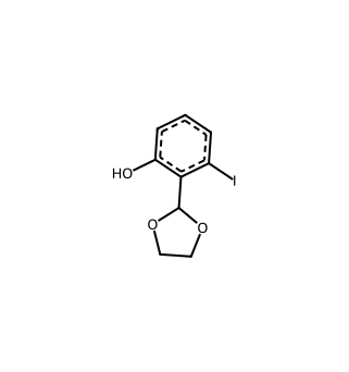 Oc1cccc(I)c1C1OCCO1